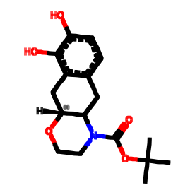 CC(C)(C)OC(=O)N1CCO[C@@H]2Cc3c(ccc(O)c3O)CC21